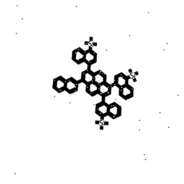 C[Si](C)(C)c1ccc(-c2cc(-c3ccc4ccccc4c3)c3ccc4c(-c5ccc([Si](C)(C)C)c6ccccc56)cc(-c5ccc([Si](C)(C)C)c6ccccc56)c5ccc2c3c45)c2ccccc12